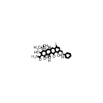 CN(C)[C@@H]1C(O)=C(C(N)=O)C(=O)[C@@]2(O)C(O)=C3C(=O)c4c(O)c(CNc5ccccc5)cc(I)c4C[C@H]3C[C@@H]12